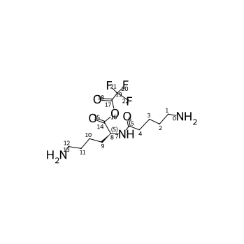 NCCCCC(=O)N[C@@H](CCCCN)C(=O)OC(=O)C(F)(F)F